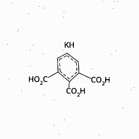 O=C(O)c1cccc(C(=O)O)c1C(=O)O.[KH]